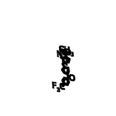 Cn1ncc2c(ccn2Cc2ccc(C(=O)c3ccc(C(F)(F)F)cc3)cc2)c1=O